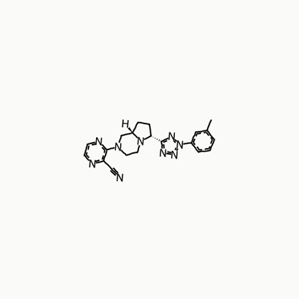 Cc1cccc(-n2nnc([C@H]3CC[C@H]4CN(c5nccnc5C#N)CCN43)n2)c1